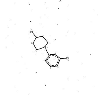 CCc1cccc(N2CCC(O)CC2)c1